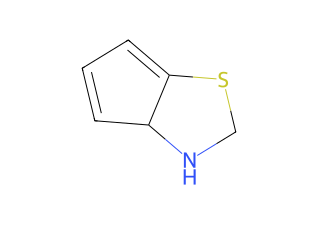 C1=CC2NCSC2=C1